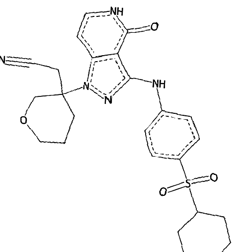 N#CCC1(n2nc(Nc3ccc(S(=O)(=O)C4CCCCC4)cc3)c3c(=O)[nH]ccc32)CCCOC1